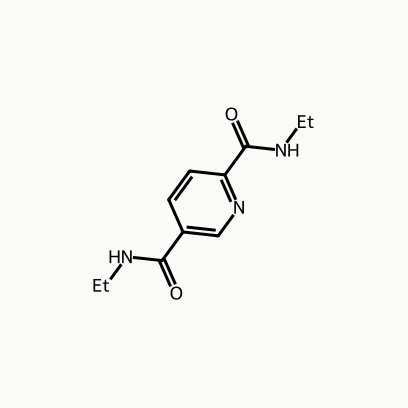 CCNC(=O)c1ccc(C(=O)NCC)nc1